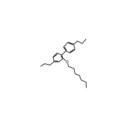 CCCCCCCOc1cc(CCC)ccc1-c1ccc(CCC)cc1